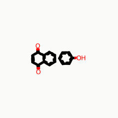 O=C1C=CC(=O)c2ccccc21.Oc1ccccc1